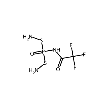 NSP(=O)(NC(=O)C(F)(F)F)SN